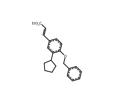 CCOC(=O)C=Cc1ccc(OCc2ccccc2)c(C2CCCC2)c1